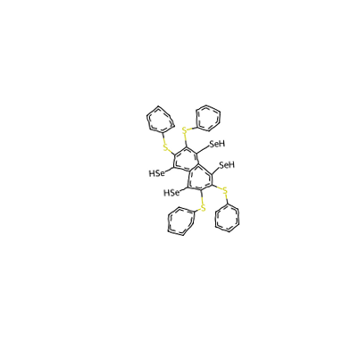 [SeH]c1c(Sc2ccccc2)c(Sc2ccccc2)c([SeH])c2c([SeH])c(Sc3ccccc3)c(Sc3ccccc3)c([SeH])c12